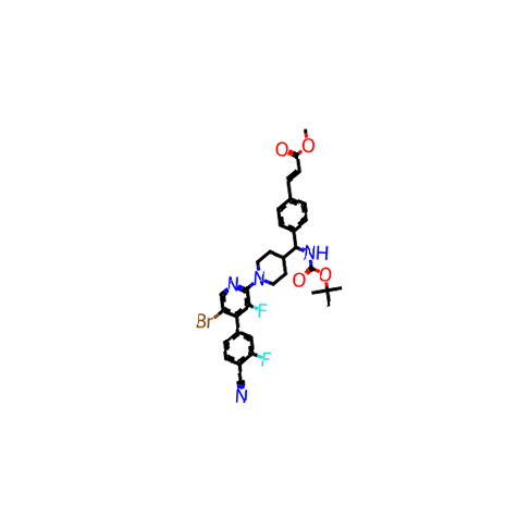 COC(=O)/C=C/c1ccc(C(NC(=O)OC(C)(C)C)C2CCN(c3ncc(Br)c(-c4ccc(C#N)c(F)c4)c3F)CC2)cc1